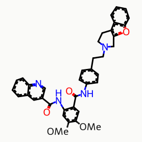 COc1cc(NC(=O)c2cnc3ccccc3c2)c(C(=O)Nc2ccc(CCN3CCc4c(oc5ccccc45)C3)cc2)cc1OC